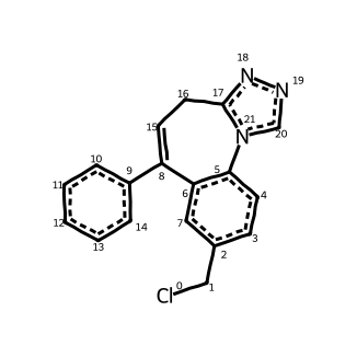 ClCc1ccc2c(c1)C(c1ccccc1)=CCc1nncn1-2